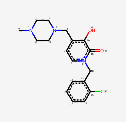 CN1CCN(Cc2ccn(Cc3ccccc3Cl)c(=O)c2O)CC1